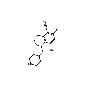 Cl.N#Cc1c(F)ccc2c1CCOC2CN1CCNCC1